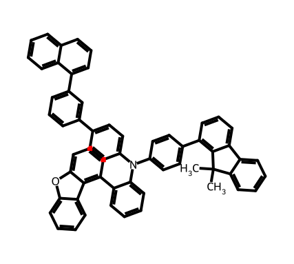 CC1(C)c2ccccc2-c2cccc(-c3ccc(N(c4ccc(-c5cccc(-c6cccc7ccccc67)c5)cc4)c4ccccc4-c4cccc5oc6ccccc6c45)cc3)c21